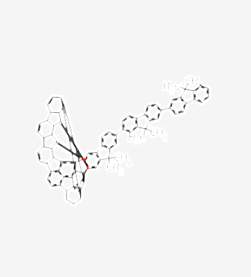 CC1(C)c2ccccc2-c2ccc(-c3ccc4c(c3)C(C)(C)c3cc(-c5ccc6c(c5)C(C)(C)c5cc(N7CC89C%10=C%11C%12=C%13C%14C%15C=CC%16C%17C=CC%18c%19ccc%20c%21c(c%11c%11c(c%19%21)C%18C%17C(=C%12%11)C%16%14)C8(C7)C%20CCC9C7C=CC%15C%13C%107)ccc5-6)ccc3-4)cc21